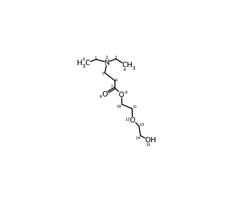 CCN(CC)CCC(=O)OCCOCCO